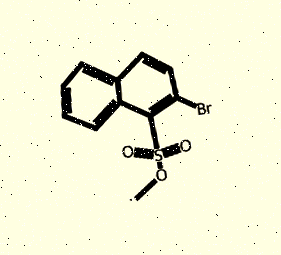 [CH2]OS(=O)(=O)c1c(Br)ccc2ccccc12